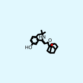 CC1(C)Cc2ccc(O)cc2C(=CC(=O)C23CC4CC(CC(C4)C2)C3)N1